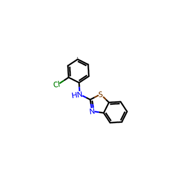 Clc1c[c]ccc1Nc1nc2ccccc2s1